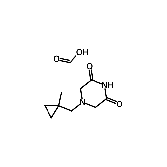 CC1(CN2CC(=O)NC(=O)C2)CC1.O=CO